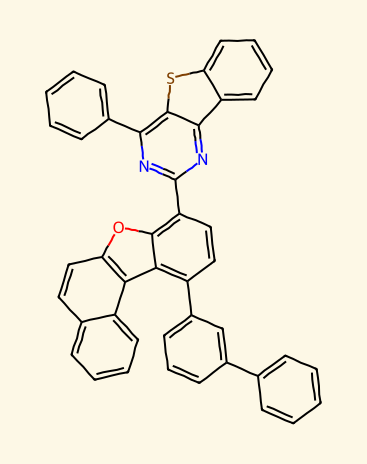 c1ccc(-c2cccc(-c3ccc(-c4nc(-c5ccccc5)c5sc6ccccc6c5n4)c4oc5ccc6ccccc6c5c34)c2)cc1